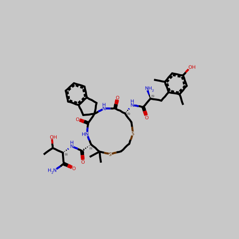 Cc1cc(O)cc(C)c1C[C@H](N)C(=O)N[C@@H]1CSCCSC(C)(C)[C@H](C(=O)N[C@H](C(N)=O)C(C)O)NC(=O)C2(Cc3ccccc3C2)NC1=O